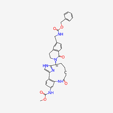 COC(=O)Nc1ccc2c(c1)NC(=O)CCCC[C@H](N1CCc3cc(CNC(=O)OCc4ccccc4)ccc3C1=O)c1nc-2c[nH]1